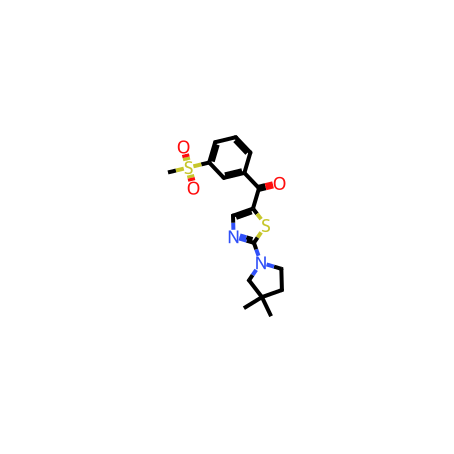 CC1(C)CCN(c2ncc(C(=O)c3cccc(S(C)(=O)=O)c3)s2)C1